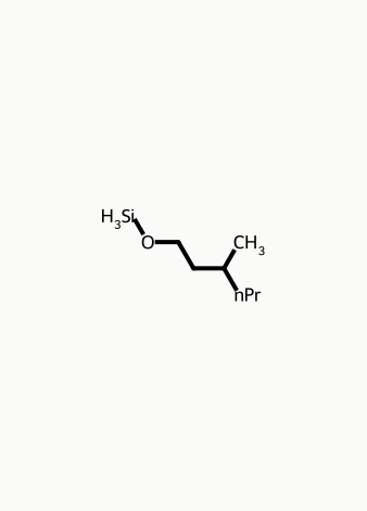 CCCC(C)CCO[SiH3]